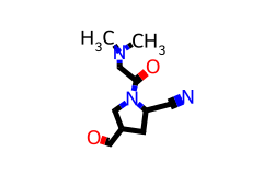 CN(C)CC(=O)N1CC(C=O)CC1C#N